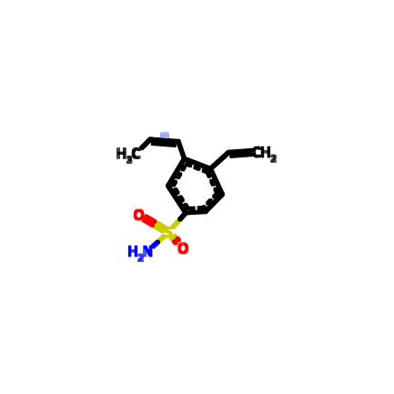 C=Cc1ccc(S(N)(=O)=O)cc1/C=C\C